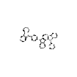 c1ccc(-n2c3ccccc3c3ccc4c(c5ccccc5n4-c4ccc(-n5c6ccccc6c6cnccc65)cc4)c32)cc1